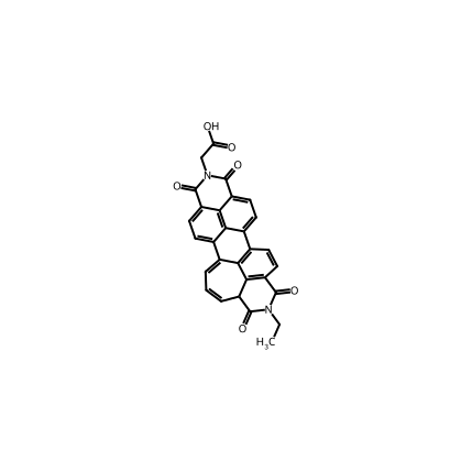 CCN1C(=O)c2ccc3c4c2C(C=CC=c4c2ccc4c5c(ccc3c52)C(=O)N(CC(=O)O)C4=O)C1=O